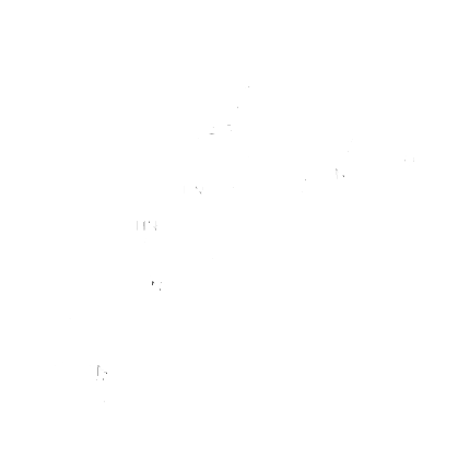 O=C(Nc1ncc(Sc2ccccn2)s1)Nc1ccc(N2CCOCC2)cc1C(=O)C1CCCC1